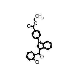 CCOC(=O)c1ccc(-n2cc(C(=O)c3ccccc3Cl)c3ccccc32)cc1